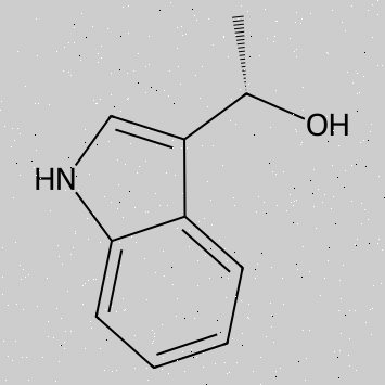 C[C@H](O)c1c[nH]c2ccccc12